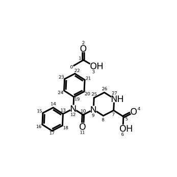 CC(=O)O.O=C(O)C1CN(C(=O)N(c2ccccc2)c2ccccc2)CCN1